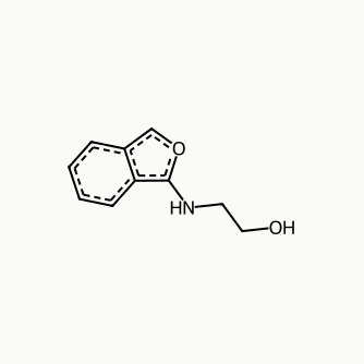 OCCNc1occ2ccccc12